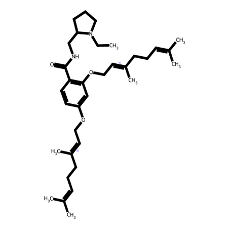 CCN1CCCC1CNC(=O)c1ccc(OC/C=C(\C)CCC=C(C)C)cc1OC/C=C(\C)CCC=C(C)C